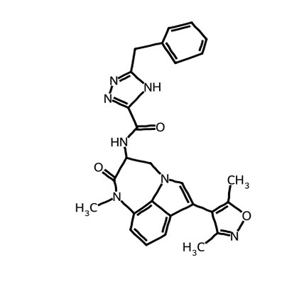 Cc1noc(C)c1-c1cn2c3c(cccc13)N(C)C(=O)C(NC(=O)c1nnc(Cc3ccccc3)[nH]1)C2